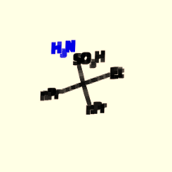 CCCC(CC)(CCC)S(=O)(=O)O.N